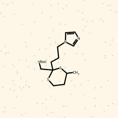 CCCCCCCCCCC1(CCCn2ccnc2)SCCC(C)S1